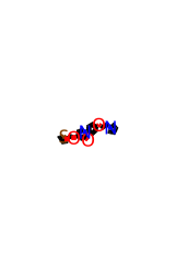 O=c1cc(OCc2cccs2)ccn1-c1ccc(OCCN2CCCC2)cc1